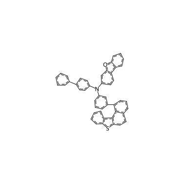 c1ccc(-c2ccc(N(c3cccc(-c4cccc5ccc6sc7ccccc7c6c45)c3)c3ccc4c(c3)oc3ccccc34)cc2)cc1